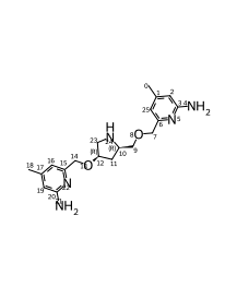 Cc1cc(N)nc(COC[C@H]2C[C@@H](OCc3cc(C)cc(N)n3)CN2)c1